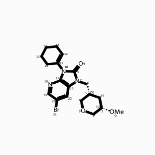 CO[C@@H]1COC[C@H](Cn2c(=O)n(C3=CCCCC3)c3ncc(Br)cc32)C1